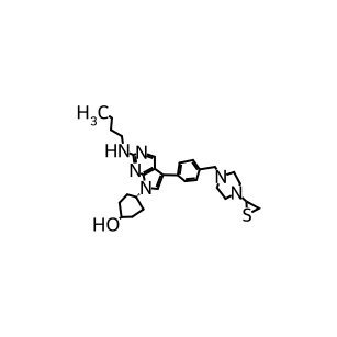 CCCCNc1ncc2c(-c3ccc(CN4CCN(C5CS5)CC4)cc3)cn([C@H]3CC[C@H](O)CC3)c2n1